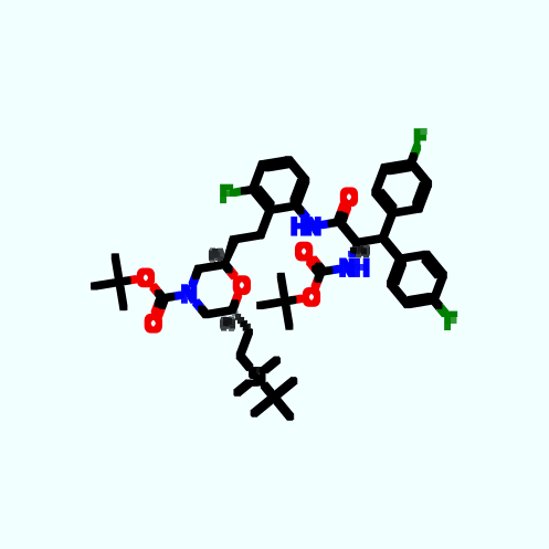 CC(C)(C)OC(=O)N[C@H](C(=O)Nc1cccc(F)c1CC[C@@H]1CN(C(=O)OC(C)(C)C)C[C@@H](CC[Si](C)(C)C(C)(C)C)O1)C(c1ccc(F)cc1)c1ccc(F)cc1